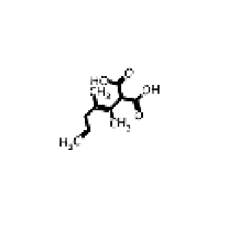 C=CCC(C)=C(C)C(C(=O)O)C(=O)O